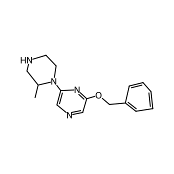 CC1CNCCN1c1cncc(OCc2ccccc2)n1